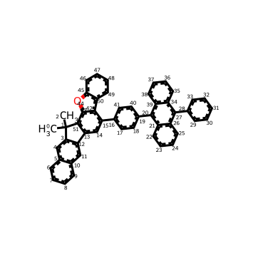 CC1(C)c2cc3ccccc3cc2-c2cc(-c3ccc(-c4c5ccccc5c(-c5ccccc5)c5ccccc45)cc3)c3c(oc4ccccc43)c21